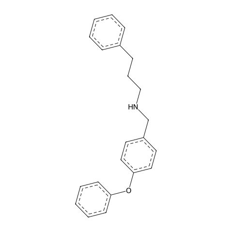 c1ccc(CCCNCc2ccc(Oc3ccccc3)cc2)cc1